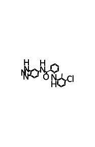 Cc1c(Cl)cccc1Nc1ccccc1C(=O)Nc1ccc2nn[nH]c2c1